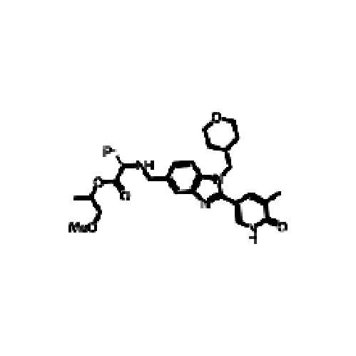 COCC(C)OC(=O)[C@@H](NCc1ccc2c(c1)nc(-c1c[nH]c(=O)c(C)c1)n2CC1CCOCC1)C(C)C